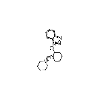 C(N1CCCCC1On1nnc2ccccc21)=[N+]1CCCCC1